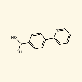 OB(O)c1ccc(-c2ccccn2)cc1